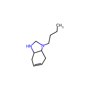 CCCCN1CNC2CC=CCC21